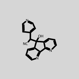 N#CC(c1ccncc1)C1(O)c2cccnc2-c2ncccc21